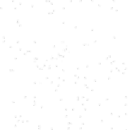 COc1cc(Nc2nccc(-c3ccc(OC4CCN(C(=O)[C@H](C)O)CC4)c(C#N)c3)n2)ccc1C(=O)NCCN(C)C